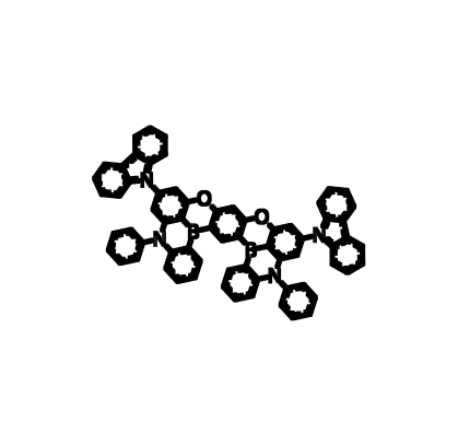 c1ccc(N2c3ccccc3B3c4cc5c(cc4Oc4cc(-n6c7ccccc7c7ccccc76)cc2c43)Oc2cc(-n3c4ccccc4c4ccccc43)cc3c2B5c2ccccc2N3c2ccccc2)cc1